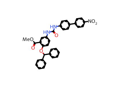 COC(=O)c1cc(NC(=O)Nc2ccc(-c3ccc([N+](=O)[O-])cc3)cc2)ccc1OC(c1ccccc1)c1ccccc1